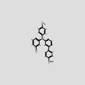 COc1ccc(-c2cccc(N(c3ccc(C)cc3)c3cccc(Cl)c3)c2)cc1